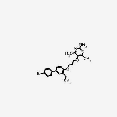 CCc1cc(-c2ccc(Br)cc2)ccc1OCCCOc1c(C)nc(N)nc1N